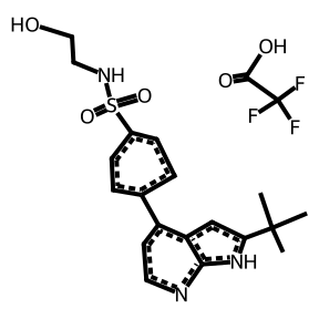 CC(C)(C)c1cc2c(-c3ccc(S(=O)(=O)NCCO)cc3)ccnc2[nH]1.O=C(O)C(F)(F)F